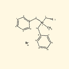 C[N+](CI)(Cc1ccccc1)Cc1ccccc1.[Br-]